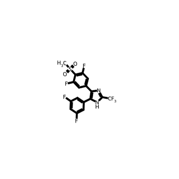 CS(=O)(=O)c1c(F)cc(-c2nc(C(F)(F)F)[nH]c2-c2cc(F)cc(F)c2)cc1F